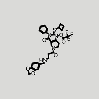 O=C(CCNCc1ccc2c(c1)OCO2)N1CCC2=C(C1)C(=O)N(c1ccccc1)C(SC1CCC1)N2OC(=O)C(F)(F)F